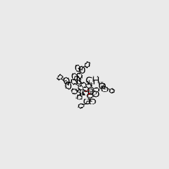 Cc1cc2c3c(cc4c([Si](c5ccccc5)(c5ccccc5)c5ccccc5)cc5c6c(cc1c3c46)B1c3ccc(C(=O)OCc4ccccc4)cc3Oc3cc(C(=O)OCc4ccccc4)cc-5c31)B1c3ccc(C(=O)OCc4ccccc4)cc3Oc3cc(C(=O)OCc4ccccc4)cc-2c31